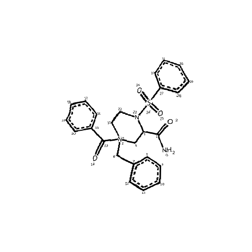 NC(=O)C1C[N+](Cc2ccccc2)(C(=O)c2ccccc2)CCN1S(=O)(=O)c1ccccc1